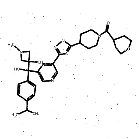 CC(C)c1ccc(C(O)(c2cncc(-c3noc(C4CCN(C(=O)C5CCOCC5)CC4)n3)c2)C2(C)CN(C)C2)cc1